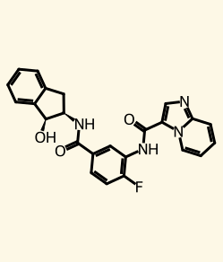 O=C(N[C@@H]1Cc2ccccc2[C@@H]1O)c1ccc(F)c(NC(=O)c2cnc3ccccn23)c1